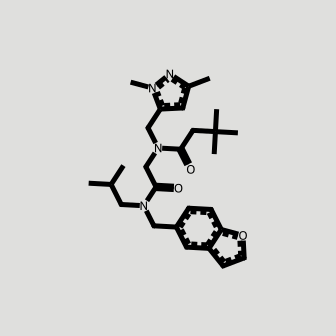 Cc1cc(CN(CC(=O)N(Cc2ccc3occc3c2)CC(C)C)C(=O)CC(C)(C)C)n(C)n1